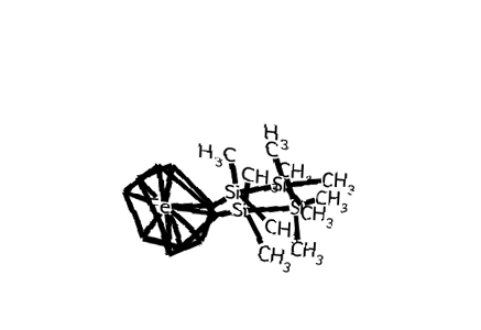 C[Si](C)(C)[Si](C)(C)[C]12[CH]3[CH]4[CH]5[CH]1[Fe]45321678[CH]2[CH]1[CH]6[C]7([Si](C)(C)[Si](C)(C)C)[CH]28